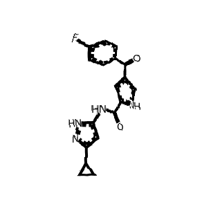 O=C(c1ccc(F)cc1)c1c[nH]c(C(=O)Nc2cc(C3CC3)n[nH]2)c1